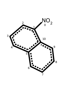 O=[N+]([O-])c1c[c]cc2ccccc12